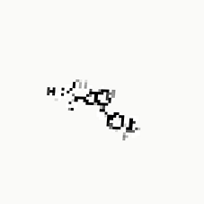 CN(C)C(=O)c1cc2c(Oc3ccc(C(F)(F)F)cc3)cncc2s1